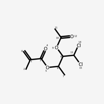 C=C(C)C(=O)OC(C)C(OC(C)=O)C(Cl)Cl